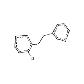 Clc1ccccc1[CH]Cc1ccccc1